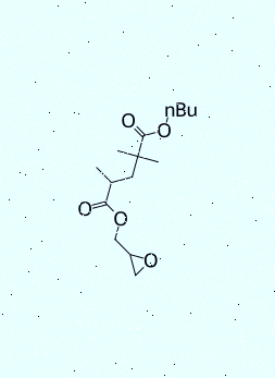 CCCCOC(=O)C(C)(C)CC(C)C(=O)OCC1CO1